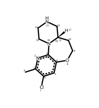 Cc1nc2c(cc1Cl)OCC[C@H]1CNCCN21